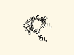 COCCO[C@H]1/C=C/C[C@@H](C)[C@H](CC2CC2)S(=O)(=O)NC(=O)c2ccc3c(c2)N(C[C@@H]2CC[C@H]21)C[C@@]1(CCCc2cc(Cl)ccc21)CO3